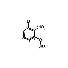 CCCCOC1=C=C=CC(CC)=C1[N+](=O)[O-]